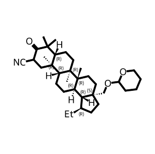 CC[C@@H]1CC[C@]2(COC3CCCCO3)CC[C@]3(C)[C@H](CC[C@@H]4[C@@]5(C)CC(C#N)C(=O)C(C)(C)[C@@H]5CC[C@]43C)[C@@H]12